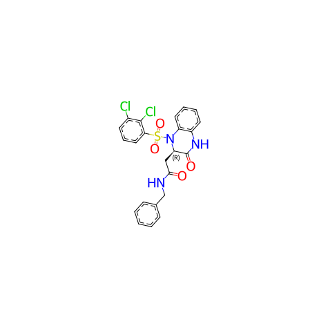 O=C(C[C@@H]1C(=O)Nc2ccccc2N1S(=O)(=O)c1cccc(Cl)c1Cl)NCc1ccccc1